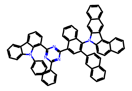 c1ccc(-c2nc(-c3cc(-c4ccc5ccccc5c4)c(-n4c5cc6ccccc6cc5c5c6ccccc6ccc54)c4ccccc34)nc(-c3cccc4c5ccccc5n(-c5ccccc5)c34)n2)cc1